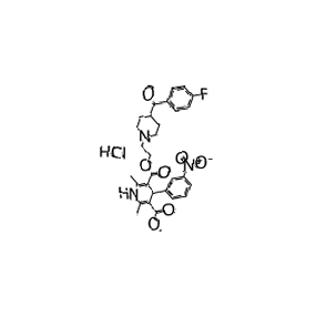 COC(=O)C1=C(C)NC(C)=C(C(=O)OCCN2CCC(C(=O)c3ccc(F)cc3)CC2)C1c1cccc([N+](=O)[O-])c1.Cl